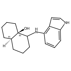 O[C@]12CCCC[C@@H]1CCCC2Nc1cccc2[nH]ccc12